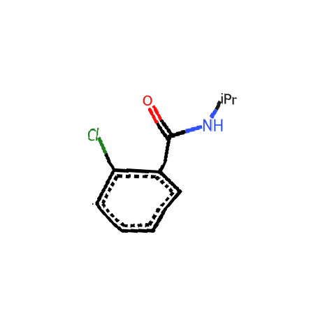 CC(C)NC(=O)c1ccc[c]c1Cl